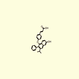 CC(C)c1cc2cc(O)ccc2c(Oc2ccc(C=CC(=O)O)cc2)c1-c1ccccc1